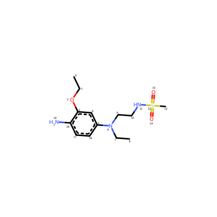 CCOc1cc(N(CC)CCNS(C)(=O)=O)ccc1N